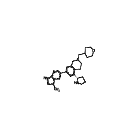 Cc1c[nH]c2ncc(-c3cc4c(c([C@@H]5CCCN5)c3)CCN(CC3CCOCC3)C4)cc12